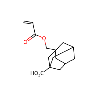 C=CC(=O)OCC12CC3CC(C1)CC(C(=O)O)(C3)C2